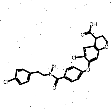 O=C(O)C1CCOc2cc(Oc3ccc(C(=O)N(Br)CCc4ccc(Cl)cc4)cc3)c(Cl)cc21